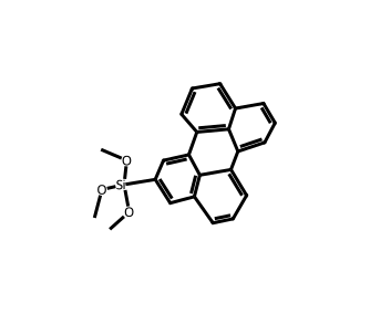 CO[Si](OC)(OC)c1cc2cccc3c4cccc5cccc(c(c1)c23)c54